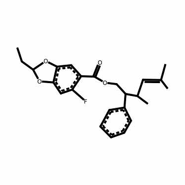 CCC1Oc2cc(F)c(C(=O)OCC(c3ccccc3)C(C)C=C(C)C)cc2O1